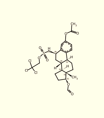 CC(=O)Oc1ccc2c(c1)[C@H](NS(=O)(=O)OCC(Cl)(Cl)Cl)C[C@@H]1[C@@H]2CC[C@]2(C)[C@@H](OC=O)CC[C@@H]12